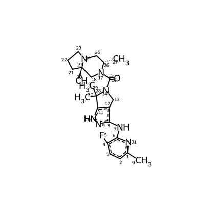 Cc1ccc(F)c(Nc2n[nH]c3c2CN(C(=O)N2C[C@]4(C)CCCN4C[C@@H]2C)C3(C)C)n1